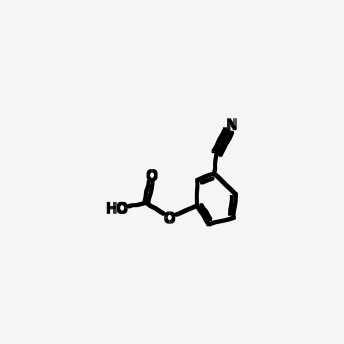 N#Cc1cccc(OC(=O)O)c1